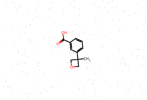 CC1(c2cccc(C(=O)O)c2)COC1